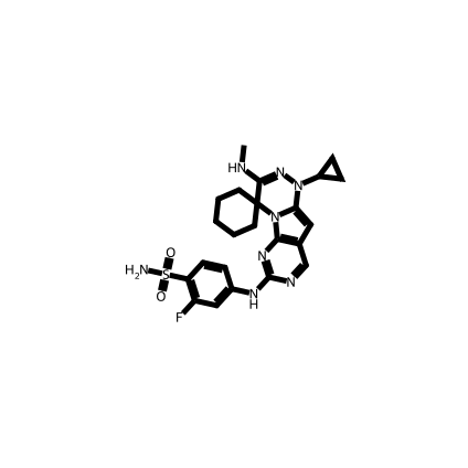 CNC1=NN(C2CC2)c2cc3cnc(Nc4ccc(S(N)(=O)=O)c(F)c4)nc3n2C12CCCCC2